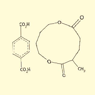 CC1CCC(=O)OCCCCOC1=O.O=C(O)c1ccc(C(=O)O)cc1